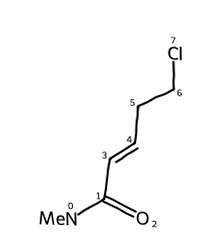 CNC(=O)/C=C/CCCl